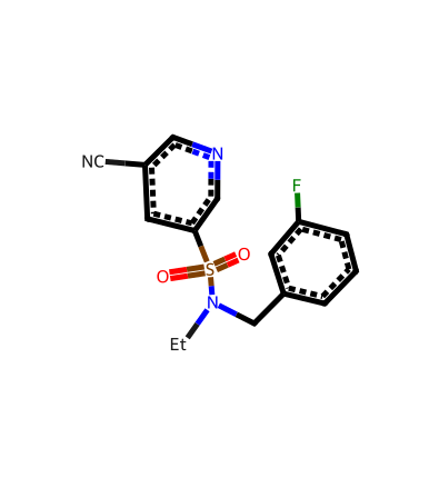 CCN(Cc1cccc(F)c1)S(=O)(=O)c1cncc(C#N)c1